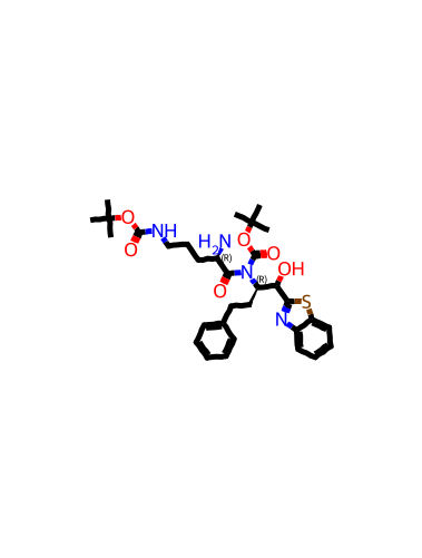 CC(C)(C)OC(=O)NCCC[C@@H](N)C(=O)N(C(=O)OC(C)(C)C)[C@H](CCc1ccccc1)C(O)c1nc2ccccc2s1